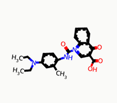 CCN(CC)c1ccc(NC(=O)n2cc(C(=O)O)c(=O)c3ccccc32)c(C)c1